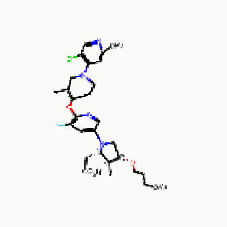 COCCCO[C@H]1CN(c2cnc(OC3CCN(c4cc(OC)ncc4Cl)CC3C)c(F)c2)[C@@H](CC(=O)O)[C@@H]1C